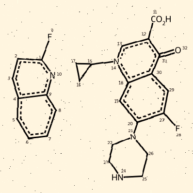 Fc1ccc2ccccc2n1.O=C(O)c1cn(C2CC2)c2cc(N3CCNCC3)c(F)cc2c1=O